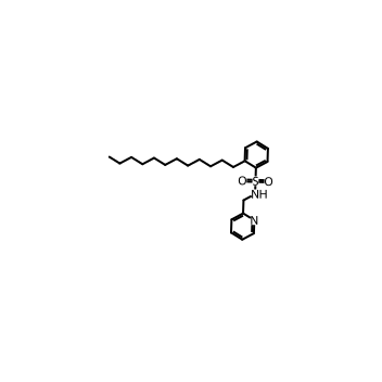 CCCCCCCCCCCCc1ccccc1S(=O)(=O)NCc1ccccn1